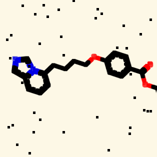 CCOC(=O)c1ccc(OCCCCc2cccc3cncn23)cc1